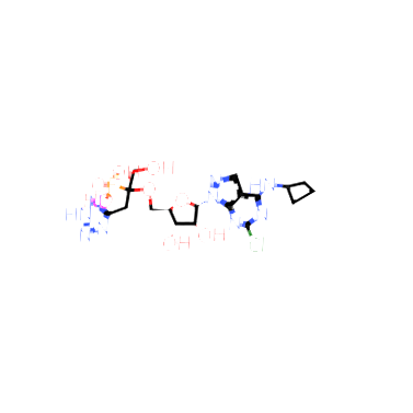 O=P(O)(O)C(CO)(Cc1nn[nH]n1)OC[C@H]1O[C@@H](n2ncc3c(NC4CCC4)nc(Cl)nc32)[C@H](O)[C@@H]1O